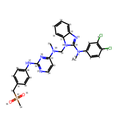 CC(=O)N(c1ccc(Cl)c(Cl)c1)c1nc2ccccc2n1CN(C)c1ccnc(Nc2ccc(CS(C)(=O)=O)cc2)n1